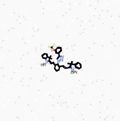 CCCN1/C(=C/C=C2\CCCC(/C=C/C3=[N+](CCC)c4ccccc4C3(C)C)=C2n2cc(-c3cccc(OC(F)F)c3)nn2)C(C)(C)c2ccccc21